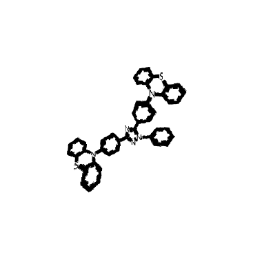 c1ccc(-n2nc(-c3ccc(N4c5ccccc5Sc5ccccc54)cc3)nc2-c2ccc(N3c4ccccc4Sc4ccccc43)cc2)cc1